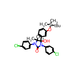 CC1(C)N(c2ccc(Cl)cc2)C(=O)N(c2ccc(Cl)cc2)C1(O)c1cccc(O[Si](C)(C)C(C)(C)C)c1